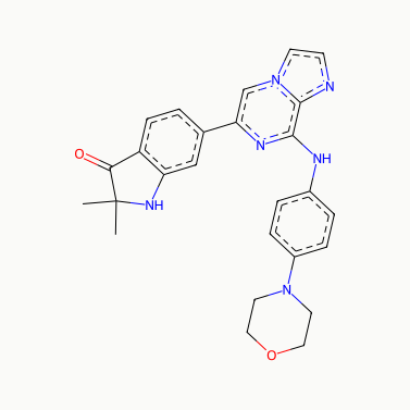 CC1(C)Nc2cc(-c3cn4ccnc4c(Nc4ccc(N5CCOCC5)cc4)n3)ccc2C1=O